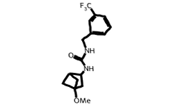 COC12CC(C1)C(NC(=O)NCc1cccc(C(F)(F)F)c1)C2